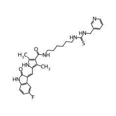 Cc1[nH]c(C=C2C(=O)Nc3ccc(F)cc32)c(C)c1C(=O)NCCCCCCNC(=S)NCc1cccnc1